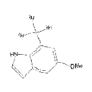 [2H]C([2H])([2H])c1cc(OC)cc2cc[nH]c12